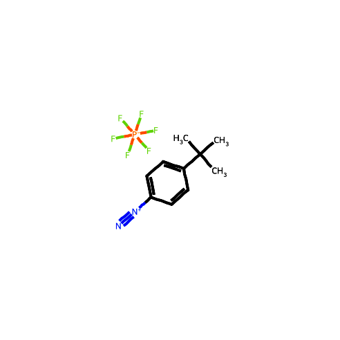 CC(C)(C)c1ccc([N+]#N)cc1.F[P-](F)(F)(F)(F)F